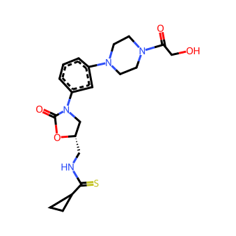 O=C(CO)N1CCN(c2cccc(N3C[C@H](CNC(=S)C4CC4)OC3=O)c2)CC1